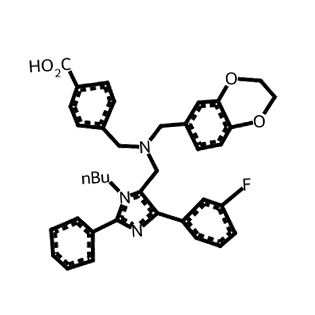 CCCCn1c(-c2ccccc2)nc(-c2cccc(F)c2)c1CN(Cc1ccc(C(=O)O)cc1)Cc1ccc2c(c1)OCCO2